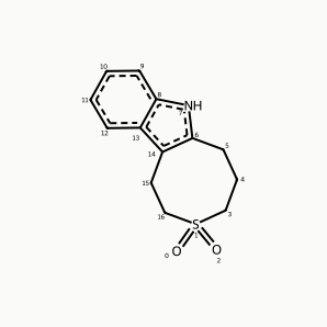 O=S1(=O)CCCc2[nH]c3ccccc3c2CC1